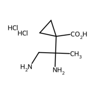 CC(N)(CN)C1(C(=O)O)CC1.Cl.Cl